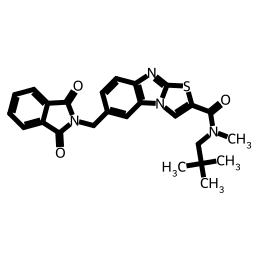 CN(CC(C)(C)C)C(=O)c1cn2c(nc3ccc(CN4C(=O)c5ccccc5C4=O)cc32)s1